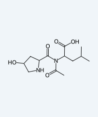 CC(=O)N(C(=O)C1CC(O)CN1)C(CC(C)C)C(=O)O